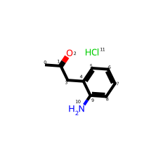 CC(=O)Cc1ccccc1N.Cl